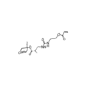 C=CC(=O)OCCNC(=O)NCC(C)C(=O)OC(C)(C)COC